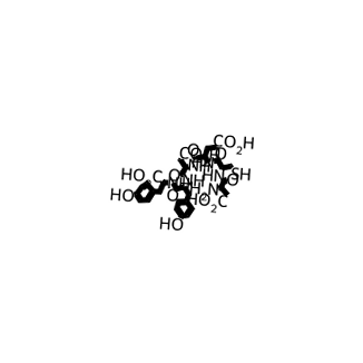 NC(CC(=O)O)C(=O)NC(CS)C(=O)NC(CCC(=O)O)C(=O)NC(CC(=O)O)C(=O)NC(Cc1ccc(O)cc1)C(=O)NC(Cc1ccc(O)cc1)C(=O)O